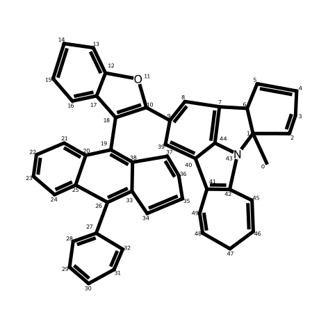 CC12C=CC=CC1c1cc(-c3oc4ccccc4c3-c3c4ccccc4c(-c4ccccc4)c4ccccc34)cc3c4c(n2c13)C=CCC=C4